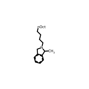 CCCCCCCCCCCCN1Cc2ccccc2C1C